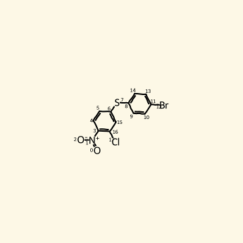 O=[N+]([O-])c1ccc(Sc2ccc(Br)cc2)cc1Cl